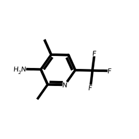 Cc1cc(C(F)(F)F)nc(C)c1N